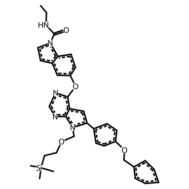 CCNC(=O)n1ccc2cc(Oc3ncnc4c3cc(-c3ccc(OCc5ccccc5)cc3)n4COCC[Si](C)(C)C)ccc21